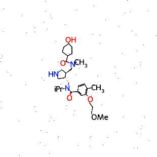 COCCCOc1cc(C(=O)N(C[C@@H]2CNC[C@H]2CN(C)C(=O)C2CCC(O)CC2)C(C)C)ccc1C